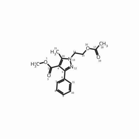 COC(=O)c1c(-c2ccccc2)nn(CCOC(C)=O)c1C